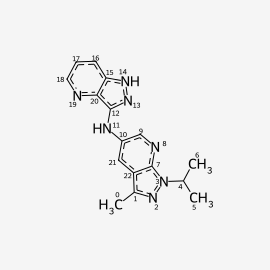 Cc1nn(C(C)C)c2ncc(Nc3n[nH]c4cccnc34)cc12